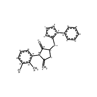 C=C1CC(Sc2nnnn2-c2ccccc2)C(=O)N1c1cccc(Cl)c1C